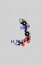 CCC(CN)C(=O)OCOC(=O)C(C)(C)Oc1ccc(CCNC(=O)c2ccc(Cl)c(C)c2)cc1